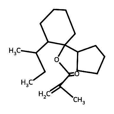 C=C(C)C(=O)OC1(C2CCCC2)CCCCC1C(C)CC